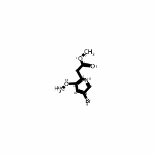 COC(=O)Cc1ncc(Br)cc1OC